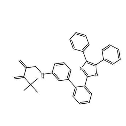 C=C(CNc1cccc(-c2ccccc2-c2nc(-c3ccccc3)c(-c3ccccc3)o2)c1)C(=C)C(C)(C)C